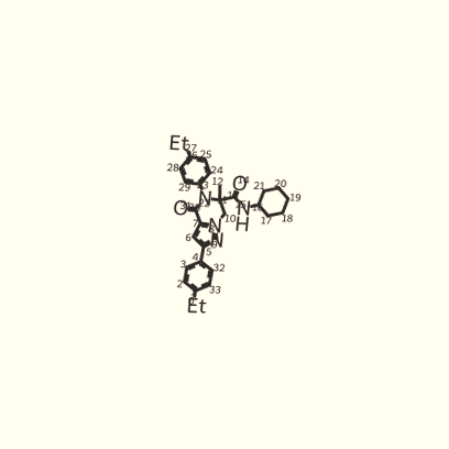 CCc1ccc(-c2cc3n(n2)CC(C)(C(=O)NC2CCCCC2)N(c2ccc(CC)cc2)C3=O)cc1